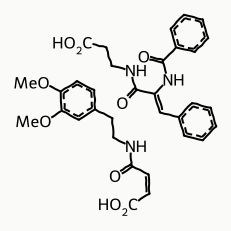 COc1ccc(CCNC(=O)/C=C\C(=O)O)cc1OC.O=C(O)CCNC(=O)C(=Cc1ccccc1)NC(=O)c1ccccc1